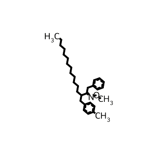 CCCCCCCCCCCCCC(Cc1ccc(C)cc1)C(Cc1ccccc1)=NOC